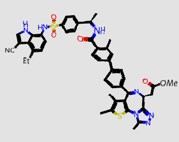 CCc1ccc(NS(=O)(=O)c2ccc([C@@H](C)NC(=O)c3ccc(-c4ccc(C5=N[C@@H](CC(=O)OC)c6nnc(C)n6-c6sc(C)c(C)c65)cc4)cc3C)cc2)c2[nH]cc(C#N)c12